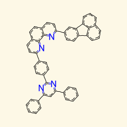 c1ccc(-c2cc(-c3ccccc3)nc(-c3ccc(-c4ccc5ccc6ccc(-c7ccc8c(c7)-c7cccc9cccc-8c79)nc6c5n4)cc3)n2)cc1